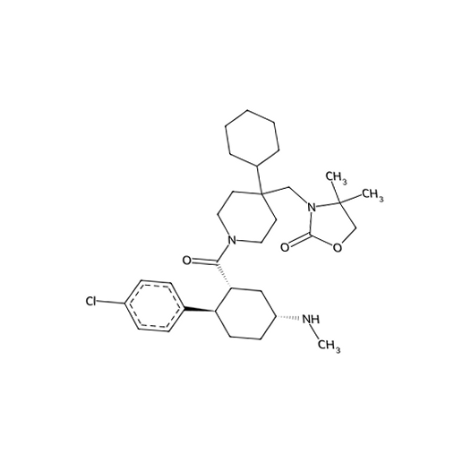 CN[C@@H]1CC[C@@H](c2ccc(Cl)cc2)[C@H](C(=O)N2CCC(CN3C(=O)OCC3(C)C)(C3CCCCC3)CC2)C1